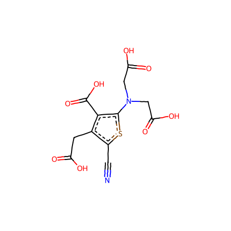 N#Cc1sc(N(CC(=O)O)CC(=O)O)c(C(=O)O)c1CC(=O)O